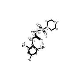 CC(C)c1cc(Cl)cc(C(C)C)c1NC(=O)NS(=O)(=O)N1CCOCC1